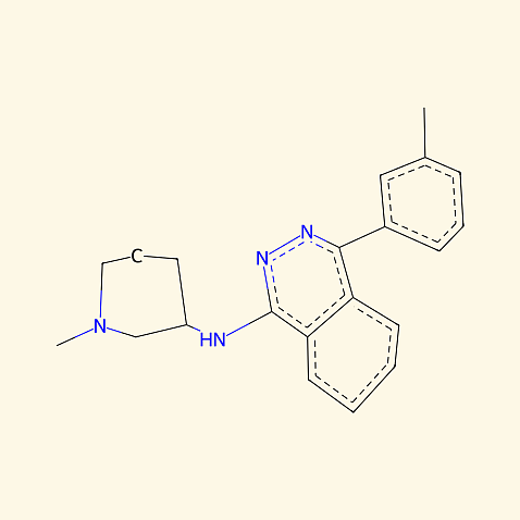 Cc1cccc(-c2nnc(NC3CCCN(C)C3)c3ccccc23)c1